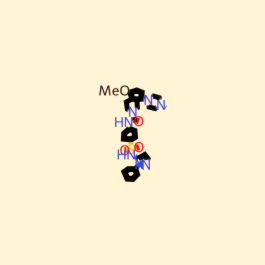 COc1ccc(N2CCN(C)CC2)c2c1CCN(C(=O)Nc1ccc(S(=O)(=O)Nc3ccnn3-c3ccccc3)cc1)C2